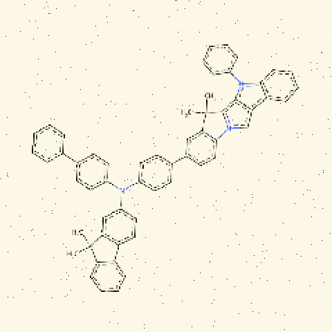 CC1(C)c2ccccc2-c2ccc(N(c3ccc(-c4ccccc4)cc3)c3ccc(-c4ccc5c(c4)C(C)(C)c4c6c(cn4-5)c4ccccc4n6-c4ccccc4)cc3)cc21